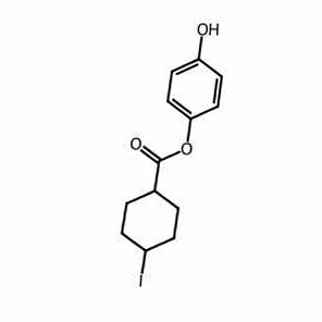 O=C(Oc1ccc(O)cc1)C1CCC(I)CC1